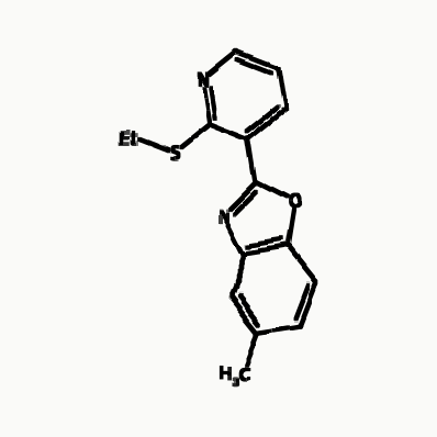 CCSc1ncccc1-c1nc2cc(C)ccc2o1